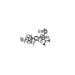 CCn1nccc1C(=O)NC(C(=O)Nc1ccc(B2OC(C)(C)C(C)(C)O2)c(F)n1)C(C1CC1)C1CC1